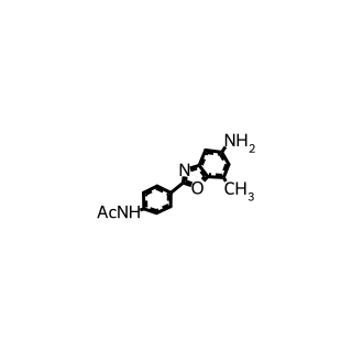 CC(=O)Nc1ccc(-c2nc3cc(N)cc(C)c3o2)cc1